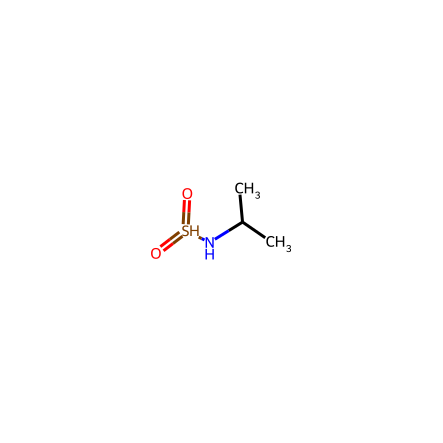 CC(C)N[SH](=O)=O